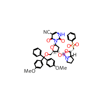 COc1ccc(C(OC[C@H]2O[C@@H](n3c(=O)[nH]cc(C#N)c3=O)C[C@@H]2O[P@]2O[C@H](CS(=O)(=O)c3ccccc3)[C@@H]3CCCN32)(c2ccccc2)c2ccc(OC)cc2)cc1